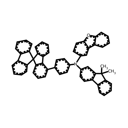 CC1(C)c2ccccc2-c2ccc(N(c3ccc(-c4cccc5c4-c4ccccc4C54c5ccccc5-c5ccccc54)cc3)c3ccc4oc5ccccc5c4c3)cc21